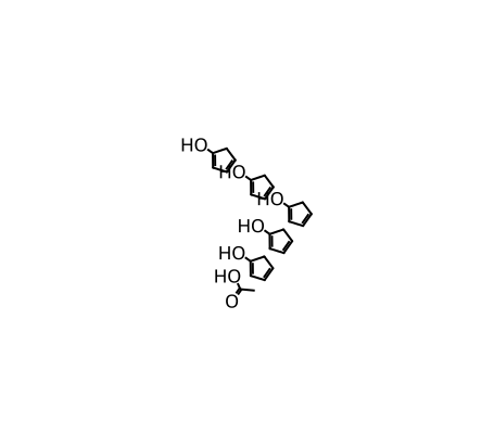 CC(=O)O.OC1=CC=CC1.OC1=CC=CC1.OC1=CC=CC1.OC1=CC=CC1.OC1=CC=CC1